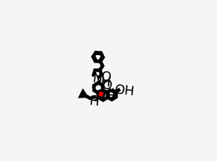 O=C1C(Cc2ccccc2)CCN1[C@H]1CC[C@@]2(O)[C@H]3Cc4ccc(O)c5c4[C@@]2(CCN3CC2CC2)[C@H]1O5